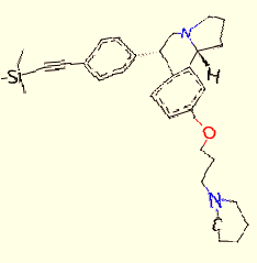 C[Si](C)(C)C#Cc1ccc([C@@H]2CN3CCC[C@@H]3c3cc(OCCCN4CCCCC4)ccc32)cc1